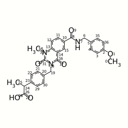 COc1ccc(CNC(=O)c2ccc3c(c2)c(=O)n(Cc2ccc(C(C)C(=O)O)cc2)c(=O)n3C)cc1